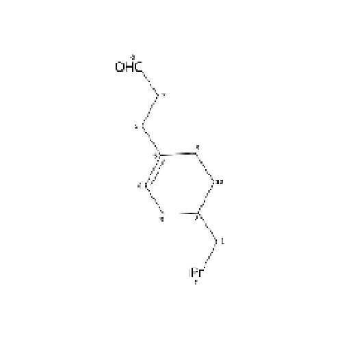 CC(C)CC1CC=C(CCC=O)CC1